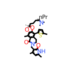 CCC[C@H](CCC[C@]1(C)Oc2c(C)c3c(c(-c4ccc(C)s4)c2O1)CCN(Cc1c(C)cc(C)[nH]c1=O)C3=O)N(C)C